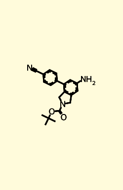 CC(C)(C)OC(=O)N1Cc2cc(N)cc(-c3ccc(C#N)cc3)c2C1